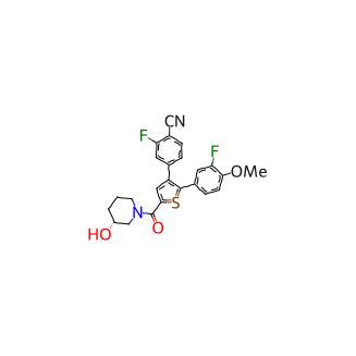 COc1ccc(-c2sc(C(=O)N3CCC[C@@H](O)C3)cc2-c2ccc(C#N)c(F)c2)cc1F